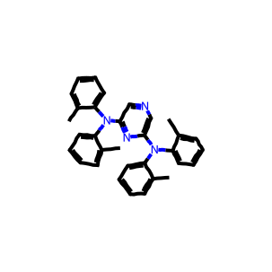 Cc1ccccc1N(c1cncc(N(c2ccccc2C)c2ccccc2C)n1)c1ccccc1C